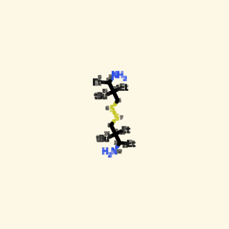 CCC(N)C(CC)(CSSCC(CC)(C(N)CC)C(C)(C)C)C(C)(C)C